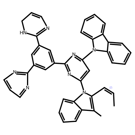 C/C=C\c1c(C)c2ccccc2n1-c1cc(-n2c3ccccc3c3ccccc32)nc(-c2cc(C3=NC=CCN3)cc(-c3ncccn3)c2)n1